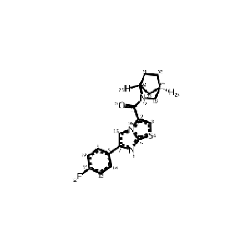 O=C(c1csc2nc(-c3ccc(F)cc3)cn12)N1C[C@@H]2CC[C@@H]1C2